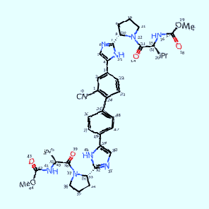 [C-]#[N+]c1cc(-c2cnc([C@@H]3CCCN3C(=O)[C@@H](NC(=O)OC)C(C)C)[nH]2)ccc1-c1ccc(-c2cnc([C@@H]3CCCN3C(=O)[C@@H](NC(=O)OC)C(C)C)[nH]2)cc1